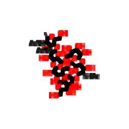 CC(=O)NC1C(O)[C@H](O[C@@H]2OC(CO)[C@H](O)C(O)[C@@H]2O)[C@H](CO)O[C@H]1O[C@@H]1C(O)[C@H](O)C(CO)O[C@@H]1OCC1O[C@@H](O[C@@H]2C(CO)O[C@@H](O[C@@H]3C(CO)O[C@@H](C)C(NC(C)=O)[C@H]3O)C(NC(C)=O)[C@H]2O)[C@H](O)C(O[C@H]2OC(CO)[C@@H](O)C(O)C2O)[C@@H]1O